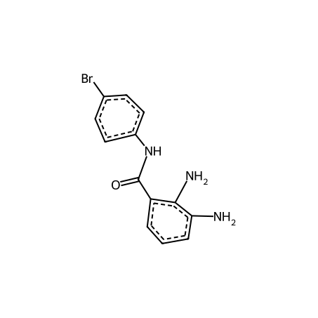 Nc1cccc(C(=O)Nc2ccc(Br)cc2)c1N